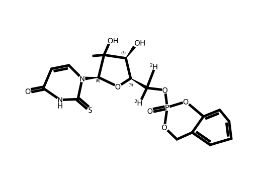 [2H]C([2H])(OP1(=O)OCc2ccccc2O1)[C@H]1O[C@@H](n2ccc(=O)[nH]c2=S)C(C)(O)[C@H]1O